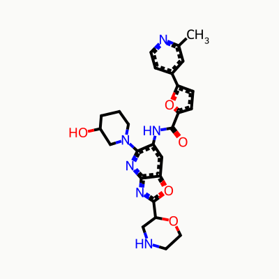 Cc1cc(-c2ccc(C(=O)Nc3cc4oc(C5CNCCO5)nc4nc3N3CCCC(O)C3)o2)ccn1